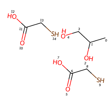 CC(O)CO.O=C(O)CS.O=C(O)CS